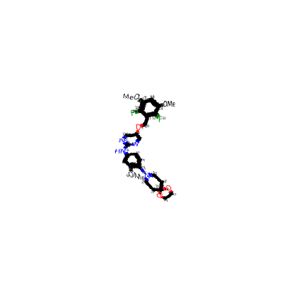 COc1cc(Nc2ncc(OCc3c(F)c(OC)cc(OC)c3F)cn2)ccc1N1CCC2(CC1)OCCO2